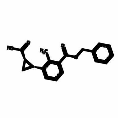 Cc1c(C(=O)OCc2ccccc2)cccc1[C@@H]1C[C@H]1C(=O)O